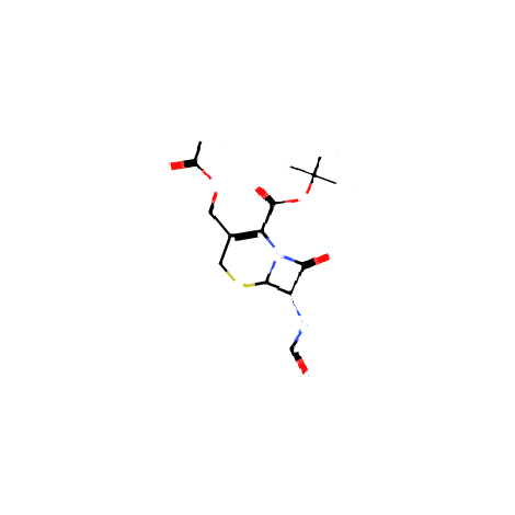 CC(=O)OCC1=C(C(=O)OC(C)(C)C)N2C(=O)[C@@H](NC=O)C2SC1